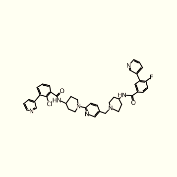 O=C(NC1CCN(Cc2ccc(N3CCC(NC(=O)c4cccc(-c5cccnc5)c4Cl)CC3)nc2)CC1)c1ccc(F)c(-c2cccnc2)c1